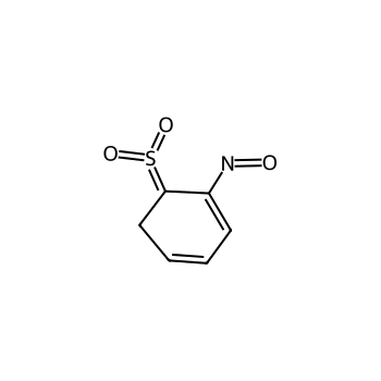 O=NC1=CC=CCC1=S(=O)=O